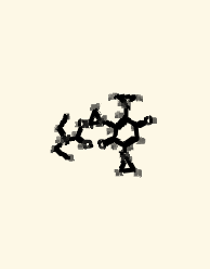 CCN(CC)C(=O)O.O=C1C=C(N2CC2)C(=O)C(N2CC2)=C1N1CC1